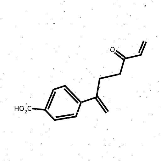 C=CC(=O)CCC(=C)c1ccc(C(=O)O)cc1